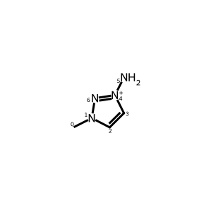 Cn1cc[n+](N)n1